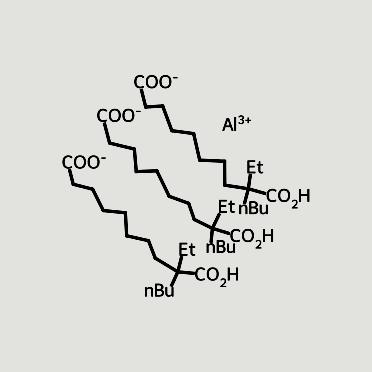 CCCCC(CC)(CCCCCCCC(=O)[O-])C(=O)O.CCCCC(CC)(CCCCCCCC(=O)[O-])C(=O)O.CCCCC(CC)(CCCCCCCC(=O)[O-])C(=O)O.[Al+3]